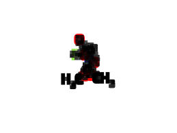 CCOc1ccc(-c2nc(-c3cccc(CCC=O)c3OCCF)co2)cc1OCC